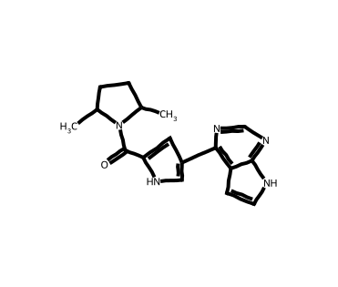 CC1CCC(C)N1C(=O)c1cc(-c2ncnc3[nH]ccc23)c[nH]1